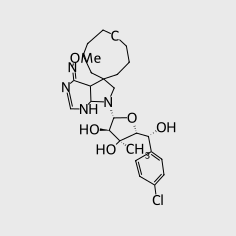 CO/N=C1/N=CNC2C1C1(CCCCCCCC1)CN2[C@@H]1O[C@H]([C@H](O)c2ccc(Cl)cc2)[C@@](C)(O)[C@H]1O